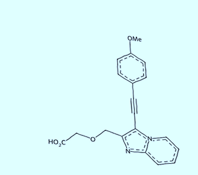 COc1ccc(C#Cc2c(COCC(=O)O)nc3ccccn23)cc1